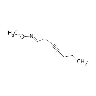 [CH2]CCC#CC/C=N/OC